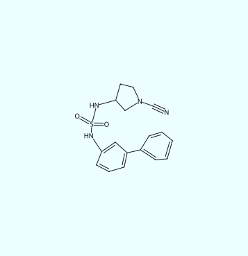 N#CN1CCC(NS(=O)(=O)Nc2cccc(-c3ccccc3)c2)C1